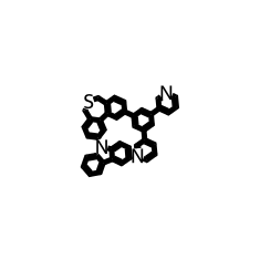 c1cncc(-c2cc(-c3cccnc3)cc(-c3ccc4c(c3)-c3cc(-n5c6ccccc6c6ccccc65)ccc3CSC4)c2)c1